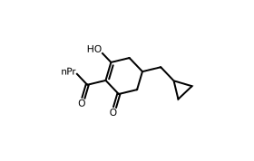 CCCC(=O)C1=C(O)CC(CC2CC2)CC1=O